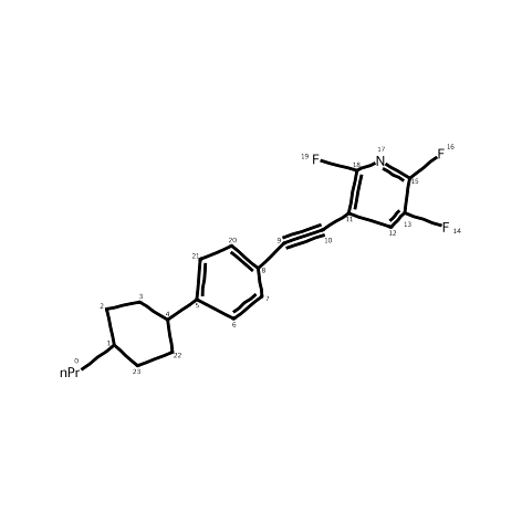 CCCC1CCC(c2ccc(C#Cc3cc(F)c(F)nc3F)cc2)CC1